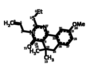 C=CCn1c(SCC)nc2c(c1=O)C(C)(C)Cc1ccc(OC)cc1-2